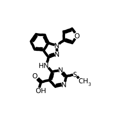 CSc1ncc(C(=O)O)c(Nc2nn(-c3ccoc3)c3ccccc23)n1